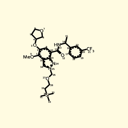 COc1c(OC2CCOC2)cc(C(=O)NC(C)c2cccc(C(F)(F)F)c2)c2nn(COCC[Si](C)(C)C)cc12